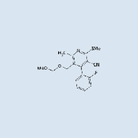 COCOCc1c(C)nc(SC)c(C#N)c1-c1ccccc1F